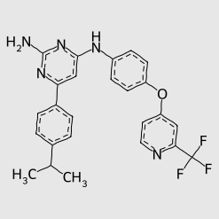 CC(C)c1ccc(-c2cc(Nc3ccc(Oc4ccnc(C(F)(F)F)c4)cc3)nc(N)n2)cc1